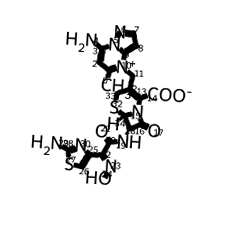 Cc1cc(N)n2nccc2[n+]1CC1=C(C(=O)[O-])N2C(=O)[C@@H](NC(=O)C(=NO)c3csc(N)n3)[C@@H]2SC1